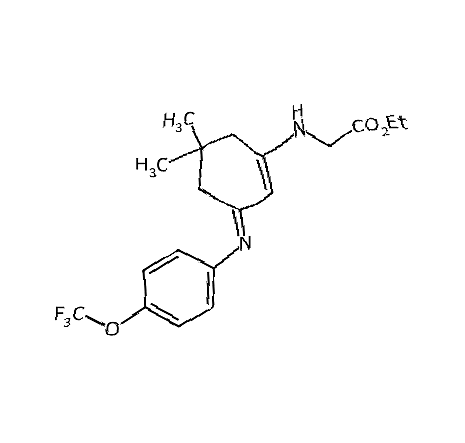 CCOC(=O)CNC1=C/C(=N/c2ccc(OC(F)(F)F)cc2)CC(C)(C)C1